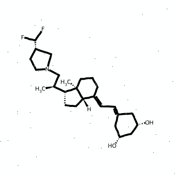 C[C@@H](CN1CC[C@H](C(F)F)C1)[C@H]1CC[C@H]2C(=CC=C3C[C@@H](O)C[C@@H](O)C3)CCC[C@]12C